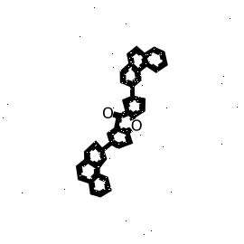 O=c1c2cc(-c3ccc4ccc5ccccc5c4c3)ccc2oc2ccc(-c3ccc4ccc5ccccc5c4c3)cc12